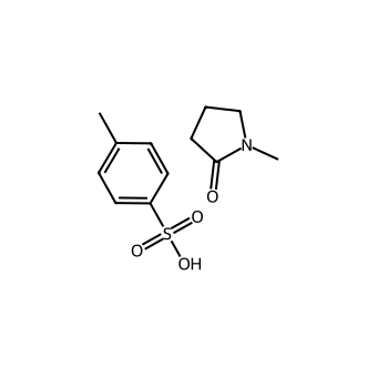 CN1CCCC1=O.Cc1ccc(S(=O)(=O)O)cc1